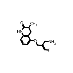 CC1Cc2c(cccc2OC/C(=C/F)CN)NC1=O